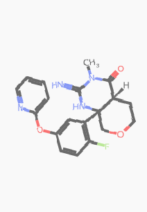 CN1C(=N)NC2(c3cc(Oc4ccccn4)ccc3F)COCC[C@H]2C1=O